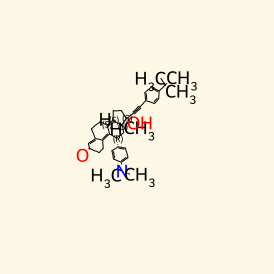 CN(C)c1ccc([C@H]2C[C@@]3(C)[C@@H](CC[C@@]3(O)C#Cc3ccc(C(C)(C)C)cc3)[C@@H]3CCC4=CC(=O)CCC4=C32)cc1